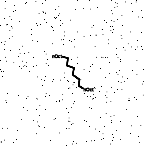 [CH2]CCCCCCCC[CH]CCCCCCCCCCCC